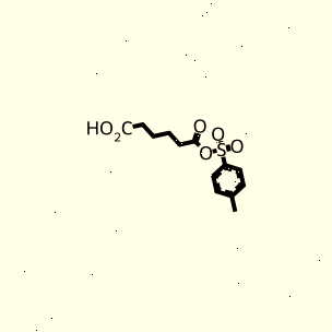 Cc1ccc(S(=O)(=O)OC(=O)CCCCC(=O)O)cc1